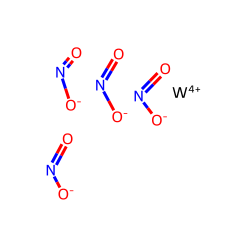 O=N[O-].O=N[O-].O=N[O-].O=N[O-].[W+4]